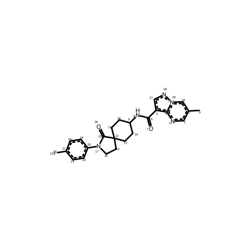 Cc1cnc2c(C(=O)NC3CCC4(CC3)CCN(c3ccc(F)cc3)C4=O)cnn2c1